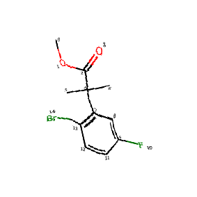 COC(=O)C(C)(C)c1cc(F)ccc1Br